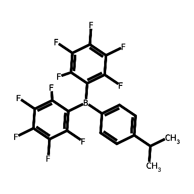 CC(C)c1ccc(B(c2c(F)c(F)c(F)c(F)c2F)c2c(F)c(F)c(F)c(F)c2F)cc1